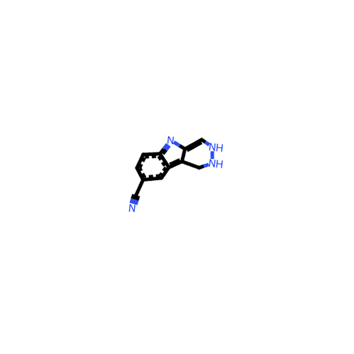 N#Cc1ccc2c(c1)=C1CNNC=C1N=2